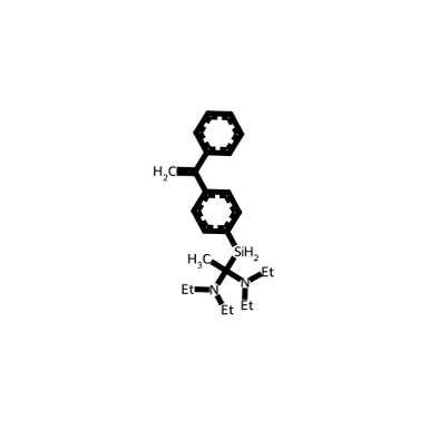 C=C(c1ccccc1)c1ccc([SiH2]C(C)(N(CC)CC)N(CC)CC)cc1